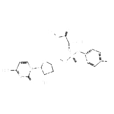 COC(=O)[C@H](C)NP(=O)(OC[C@@H]1C[C@H](C)[C@@H](n2ccc(N)nc2=O)O1)Oc1ccc(Cl)cc1